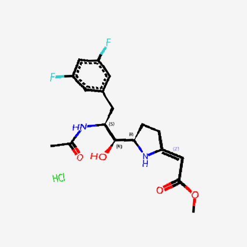 COC(=O)/C=C1/CC[C@H]([C@@H](O)[C@H](Cc2cc(F)cc(F)c2)NC(C)=O)N1.Cl